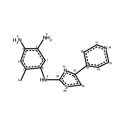 Cc1cc(N)c(N)cc1Nc1nc(-c2ccncc2)cs1